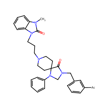 CC(=O)c1cccc(CN2CN(c3ccccc3)C3(CCN(CCCn4c(=O)n(C)c5ccccc54)CC3)C2=O)c1